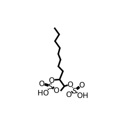 CCCCCCCCC(OS(=O)(=O)O)C(C)OS(=O)(=O)O